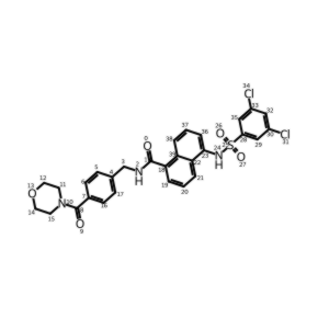 O=C(NCc1ccc(C(=O)N2CCOCC2)cc1)c1cccc2c(NS(=O)(=O)c3cc(Cl)cc(Cl)c3)cccc12